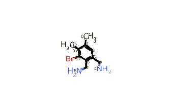 Cc1cc(CN)c(CN)c(Br)c1C